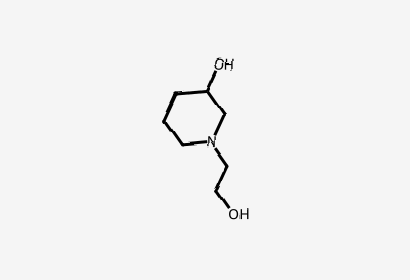 OCCN1CCCC(O)C1